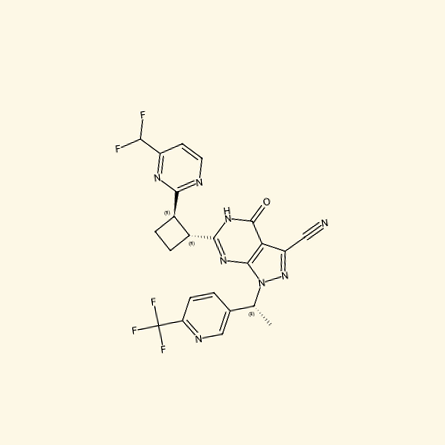 C[C@H](c1ccc(C(F)(F)F)nc1)n1nc(C#N)c2c(=O)[nH]c([C@@H]3CC[C@H]3c3nccc(C(F)F)n3)nc21